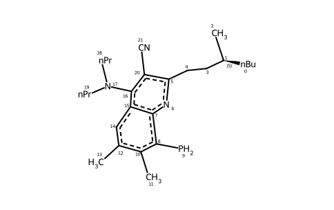 CCCC[C@H](C)CCc1nc2c(P)c(C)c(C)cc2c(N(CCC)CCC)c1C#N